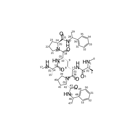 CN[C@@H](C)C(=O)N[C@@H](CC[C@H](NC(=O)[C@H](C)NC)C(=O)N1CCC[C@H]1C(=O)NC(C)c1ccccc1)C(=O)N1CCC[C@H]1C(=O)NC(C)c1ccccc1